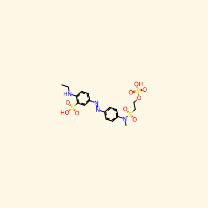 CCNc1ccc(/N=N/c2ccc(N(C)S(=O)(=O)CCOS(=O)(=O)O)cc2)cc1S(=O)(=O)O